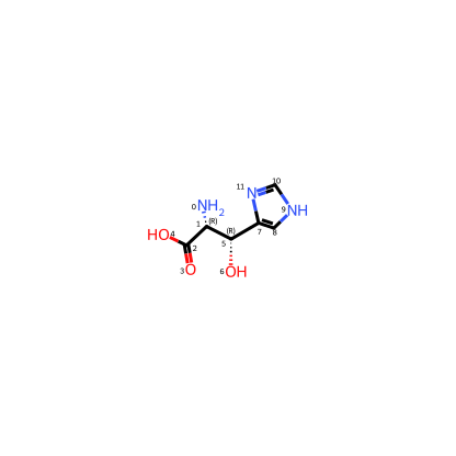 N[C@@H](C(=O)O)[C@@H](O)c1c[nH]cn1